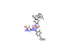 COCc1ccc([C@@H](NC(=O)[C@@H]2CNC(=O)C2)C(=O)Nc2ccc(S(C)(C)C)c(F)c2)cc1